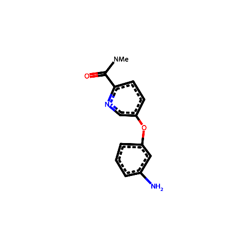 CNC(=O)c1ccc(Oc2cccc(N)c2)cn1